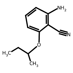 CCC(C)Oc1cccc(N)c1C#N